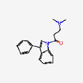 CN(C)CCC(=O)n1cc(-c2ccccc2)c2ccccc21